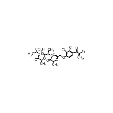 C=C(CC)C(=O)c1ccc(OCC(=O)OC(C)C(=O)OC(C)C(=O)OC(C)C(=O)OC(C)C(=O)O)c(Cl)c1Cl